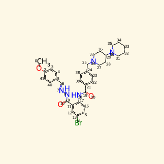 COc1ccc(/C=N/NC(=O)c2cc(Br)ccc2NC(=O)c2ccc(CN3CCC(N4CCCCC4)CC3)cc2)cc1